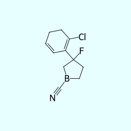 N#CB1CCC(F)(C2=C(Cl)CCC=C2)C1